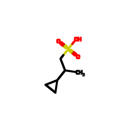 CC(CS(=O)(=O)O)C1CC1